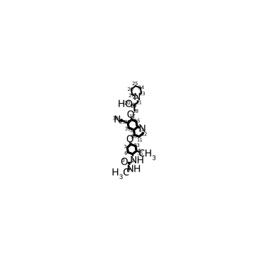 CNC(=O)Nc1ccc(Oc2ccnc3cc(OC[C@H](O)CN4CCCCC4)c(C#N)cc23)cc1C